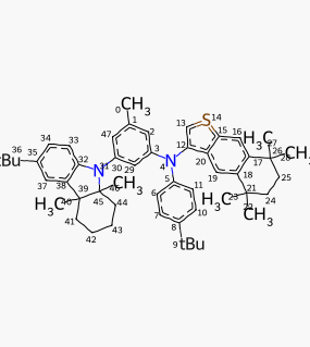 Cc1cc(N(c2ccc(C(C)(C)C)cc2)c2csc3cc4c(cc23)C(C)(C)CCC4(C)C)cc(N2c3ccc(C(C)(C)C)cc3C3(C)CCCCC23C)c1